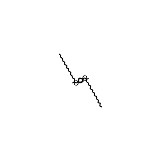 CCCCCCCCCCCCCCCCC(C)Oc1ccc(OC(C)CCCCCCCCCCCCCCCC)cc1